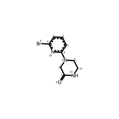 O=C1CN(c2cccc(Br)n2)CCN1